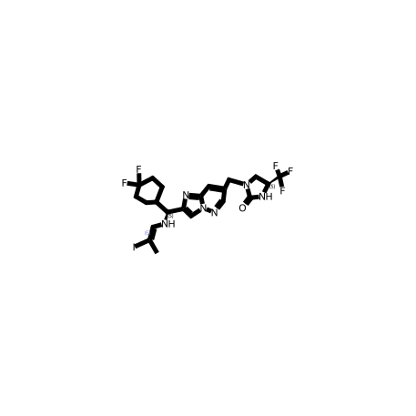 C/C(I)=C\N[C@H](c1cn2ncc(CN3C[C@@H](C(F)(F)F)NC3=O)cc2n1)C1CCC(F)(F)CC1